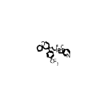 FC(F)(F)c1ccc([C@@]2(CCNCc3cnccc3C(F)(F)F)CCOC3(CCCC3)C2)cc1